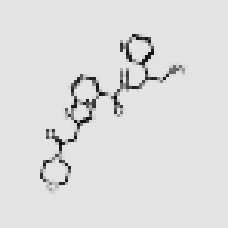 CC(C)CC(CNC(=O)c1cccc2nc(CC(=O)N3CCOCC3)cn12)c1cccnc1